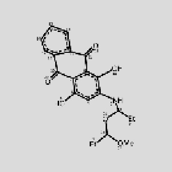 CCC(Nc1cc(O)c2c(c1O)C(=O)c1ccccc1C2=O)OC(CC)OC